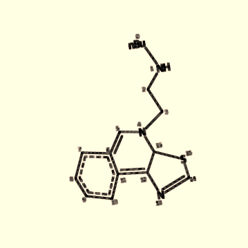 CCCCNCCN1C=c2ccccc2=C2N=CSC21